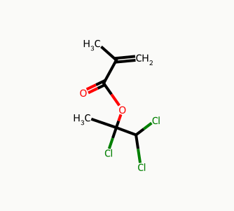 C=C(C)C(=O)OC(C)(Cl)C(Cl)Cl